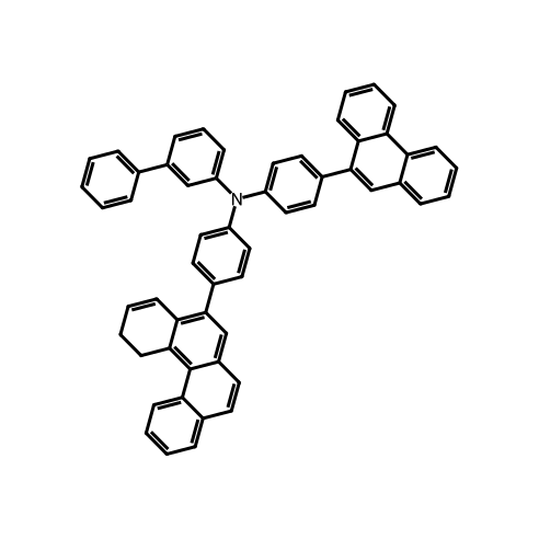 C1=Cc2c(-c3ccc(N(c4ccc(-c5cc6ccccc6c6ccccc56)cc4)c4cccc(-c5ccccc5)c4)cc3)cc3ccc4ccccc4c3c2CC1